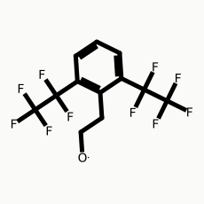 [O]CCc1c(C(F)(F)C(F)(F)F)cccc1C(F)(F)C(F)(F)F